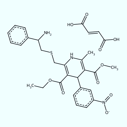 CCOC(=O)C1=C(CSCC(N)c2ccccc2)NC(C)=C(C(=O)OC)C1c1cccc([N+](=O)[O-])c1.O=C(O)C=CC(=O)O